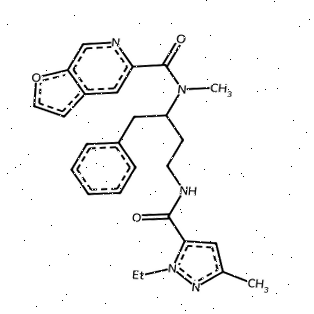 CCn1nc(C)cc1C(=O)NCCC(Cc1ccccc1)N(C)C(=O)c1cc2ccoc2cn1